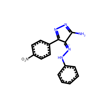 NC1=NN=C(c2ccc([N+](=O)[O-])cc2)/C1=N\Nc1ccccc1